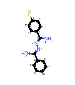 N/C(=N\N=C(/N)c1ccc(F)cc1)c1ccccc1